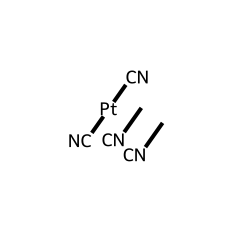 N#[C][Pt][C]#N.[C-]#[N+]C.[C-]#[N+]C